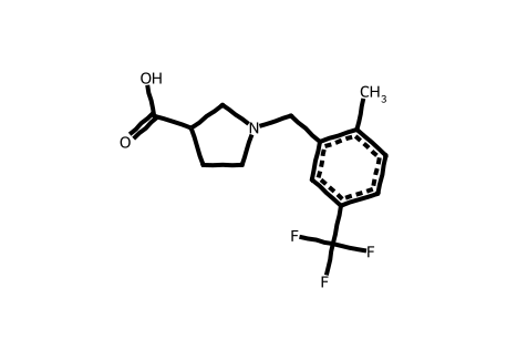 Cc1ccc(C(F)(F)F)cc1CN1CCC(C(=O)O)C1